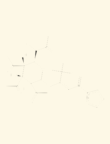 CC(=O)C(O)[C@H]1OC(OC(=CC(=O)c2cccs2)C(F)(F)F)[C@@](O)(C(C)=O)[C@](O)(C(C)=O)[C@]1(O)C(C)=O